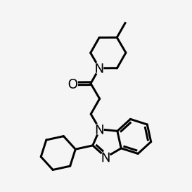 CC1CCN(C(=O)CCn2c(C3CCCCC3)nc3ccccc32)CC1